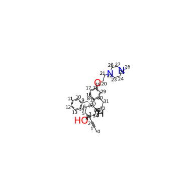 CC#C[C@@]1(O)CC[C@@]2(Cc3ccccc3)c3ccc(OCCN4CCN(C)CC4)cc3CC[C@@H]2C1